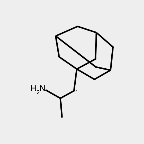 CC(N)[CH]C12CC3CC(CC(C3)C1)C2